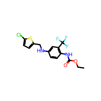 CCOC(=O)Nc1ccc(NCc2ccc(Cl)s2)cc1C(F)(F)F